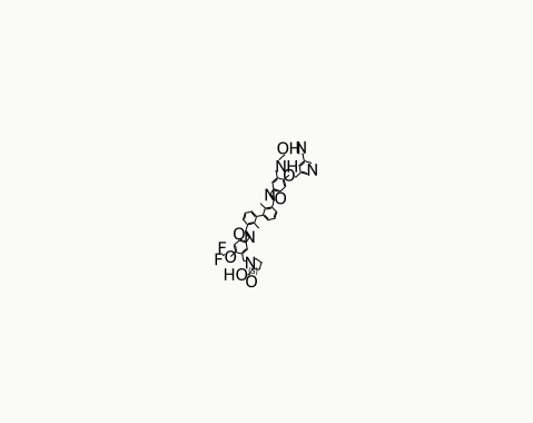 Cc1c(-c2nc3cc(CNCCO)c(OCc4cncc(C#N)c4)cc3o2)cccc1-c1cccc(-c2nc3cc(CN4CCC[C@H]4C(=O)O)c(OC(F)F)cc3o2)c1C